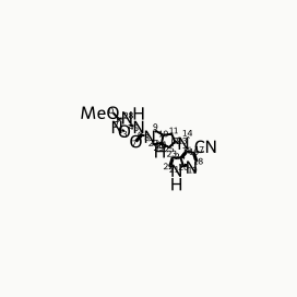 COc1noc(NC(=O)N2CC3C[C@@H](N(C)c4c(C#N)cnc5[nH]ccc45)C[C@@H]3C2)n1